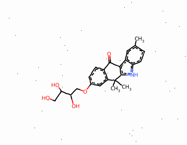 Cc1ccc2[nH]c3c(c2c1)C(=O)c1ccc(OCC(O)C(O)CO)cc1C3(C)C